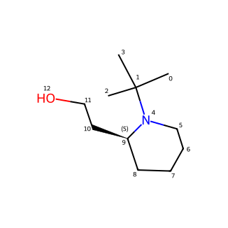 CC(C)(C)N1CCCC[C@H]1CCO